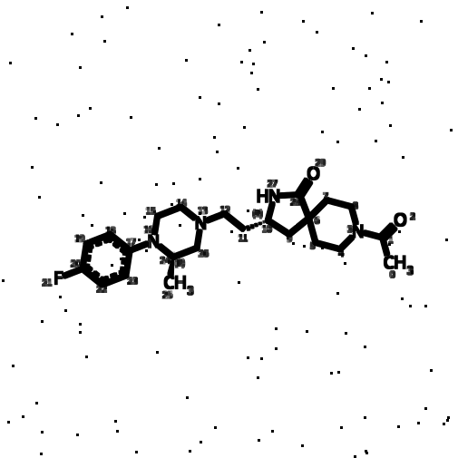 CC(=O)N1CCC2(CC1)C[C@H](CCN1CCN(c3ccc(F)cc3)[C@H](C)C1)NC2=O